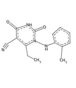 CCc1c(C#N)c(=O)[nH]c(=O)n1Nc1ccccc1C